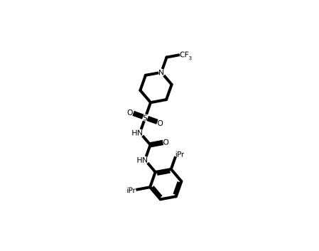 CC(C)c1cccc(C(C)C)c1NC(=O)NS(=O)(=O)C1CCN(CC(F)(F)F)CC1